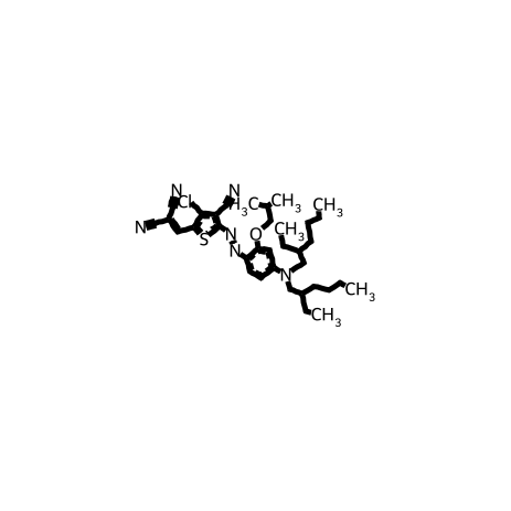 CCCCC(CC)CN(CC(CC)CCCC)c1ccc(/N=N/c2sc(C=C(C#N)C#N)c(Cl)c2C#N)c(OCC(C)C)c1